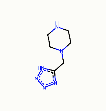 C1CN(Cc2nnn[nH]2)CCN1